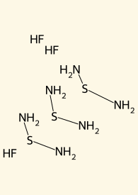 F.F.F.NSN.NSN.NSN